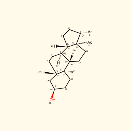 CC(=O)[C@H]1CC[C@H]2[C@@H]3CC[C@H]4C[C@H](O)CC[C@]4(C)[C@H]3CC[C@]12C(C)=O